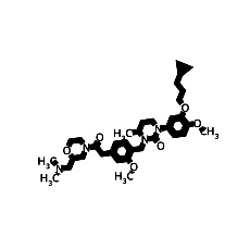 COc1cc(CC(=O)N2CCOC(CN(C)C)C2)ccc1CN1C(=O)N(c2ccc(OC)c(OCCCC3CC3)c2)CCC1C